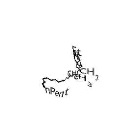 C=C(CCCCCCC/C=C\C/C=C\CCCCC)CCC(C)CCC(=C)C1CCN(C2CCN(CC)CC2)CC1